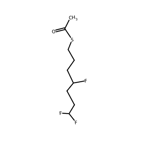 CC(=O)SCCCC(F)CCC(F)F